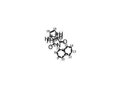 O=C1[C@@H]2[C@H](C(=O)N1c1cccc3ccccc13)[C@H]1C=C[C@@H]2C1